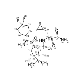 CC1(C)[C@@H]2[C@@H](C(=O)N[C@H](CC3CC3)C(=O)C(N)=O)N(C(=O)[C@@H](N)C3CCC(F)(F)CC3)C[C@@H]21